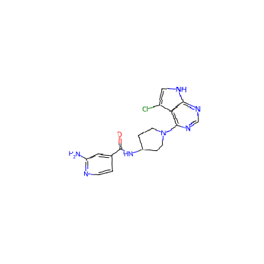 Nc1cc(C(=O)NC2CCN(c3ncnc4[nH]cc(Cl)c34)CC2)ccn1